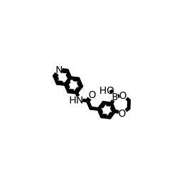 O=C(Cc1ccc2c(c1)B(O)OCCO2)Nc1ccc2cnccc2c1